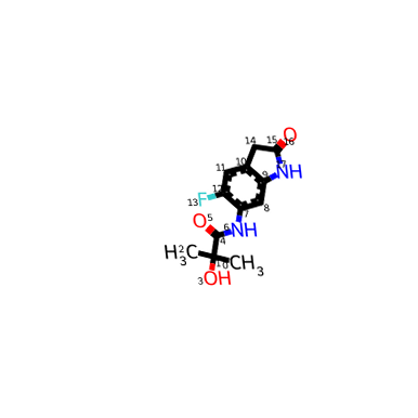 CC(C)(O)C(=O)Nc1cc2c(cc1F)CC(=O)N2